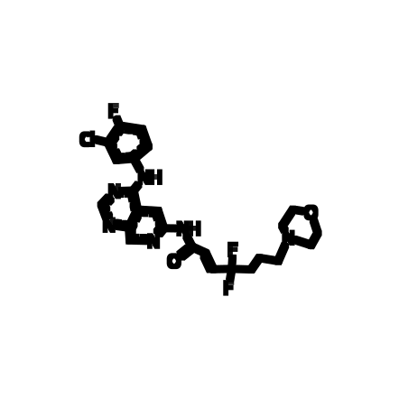 O=C(C=CC(F)(F)CCCN1CCOCC1)Nc1cc2c(Nc3ccc(F)c(Cl)c3)ncnc2cn1